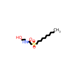 CCCCCCCCCCS(=O)(=O)CC(=O)NCCO